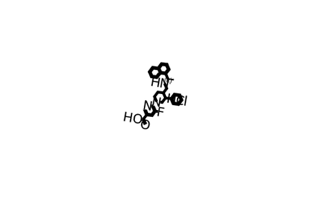 C[C@@H](NCC1CCN(c2ncc(C(=O)O)cc2F)CC1c1ccccc1)c1cccc2ccccc12.Cl